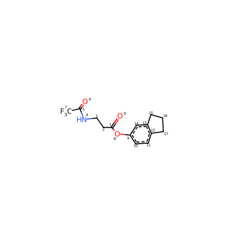 O=C(CCNC(=O)C(F)(F)F)Oc1ccc2c(c1)CCC2